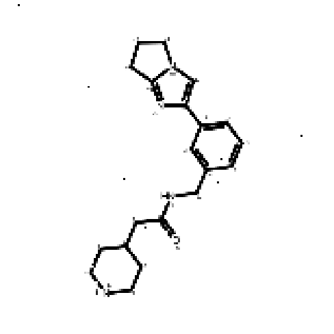 O=C(CC1CCNCC1)NCc1cccc(-c2cn3c(n2)CCC3)c1